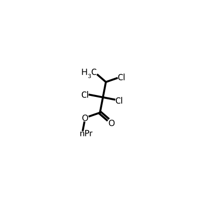 CCCOC(=O)C(Cl)(Cl)C(C)Cl